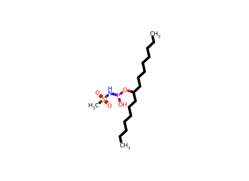 CCCCCCCCC(CCCCCCC)OP(O)NS(C)(=O)=O